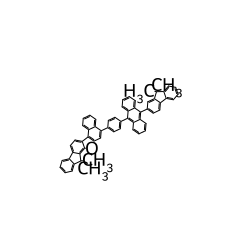 CC1(C)c2ccccc2-c2ccc(-c3c4ccccc4c(-c4ccc(-c5cc6oc7c8c(ccc7c6c6ccccc56)-c5ccccc5C8(C)C)cc4)c4ccccc34)cc21